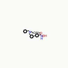 COCCN(Cc1ccccc1)Cc1cccc(-c2ccc(C(=O)NO)cc2)c1